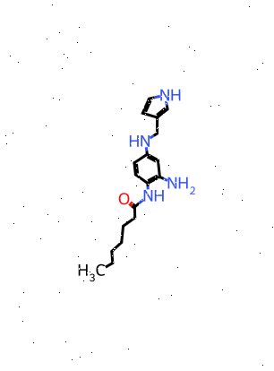 CCCCCCC(=O)Nc1ccc(NCc2cc[nH]c2)cc1N